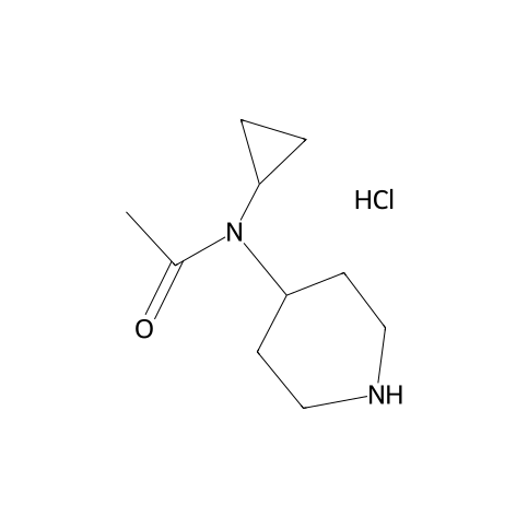 CC(=O)N(C1CCNCC1)C1CC1.Cl